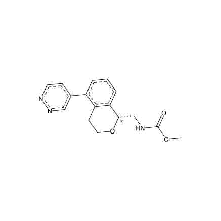 COC(=O)NC[C@@H]1OCCc2c(-c3ccnnc3)cccc21